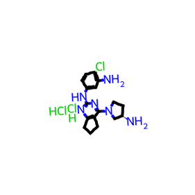 Cl.Cl.Nc1cc(Nc2nc3c(c(N4CC[C@H](N)C4)n2)CCC3)ccc1Cl